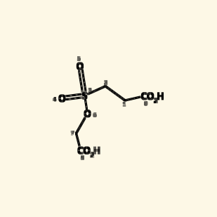 O=C(O)CCS(=O)(=O)OCC(=O)O